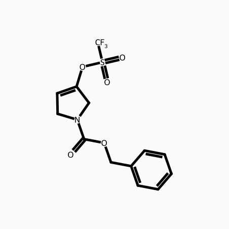 O=C(OCc1ccccc1)N1CC=C(OS(=O)(=O)C(F)(F)F)C1